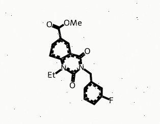 CCn1c(=O)n(Cc2cccc(F)c2)c(=O)c2cc(C(=O)OC)ccc21